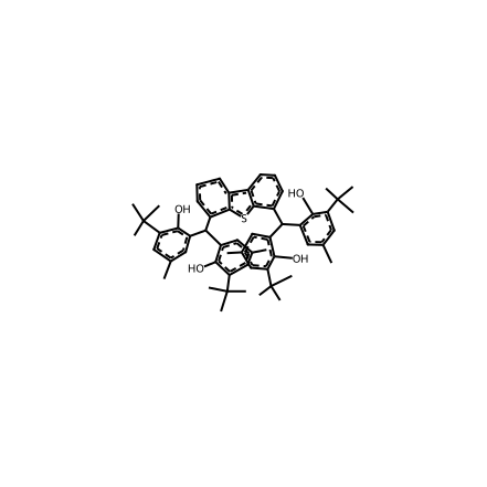 Cc1cc(C(c2cc(C)cc(C(C)(C)C)c2O)c2cccc3c2sc2c(C(c4cc(C)cc(C(C)(C)C)c4O)c4cc(C)cc(C(C)(C)C)c4O)cccc23)c(O)c(C(C)(C)C)c1